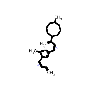 C=C/C=C\c1cc(/C=C\C(=C)C2CCCC(C)CCC2)sc1C